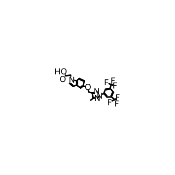 Cc1nn(-c2cc(C(F)(F)F)cc(C(F)(F)F)c2)nc1COc1ccc2c(ccn2CC(=O)O)c1